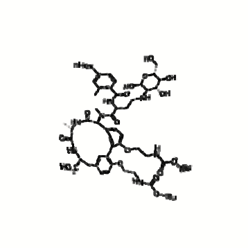 CCCCCCc1ccc(C(=O)N[C@@H](CCN[C@@H]2[C@@H](O)[C@H](O)[C@@H](CO)O[C@@H]2O)C(=O)N(C)[C@@H]2C(=O)N[C@@H](C)C(=O)N[C@H](C(=O)O)Cc3ccc(OCCNC(=O)OC(C)(C)C)c(c3)-c3cc2ccc3OCCNC(=O)OC(C)(C)C)c(C)c1